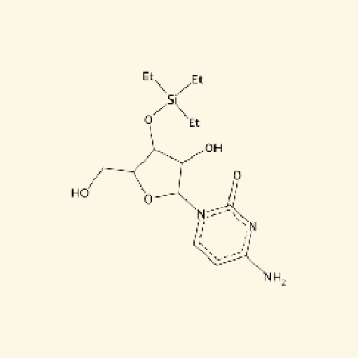 CC[Si](CC)(CC)OC1C(CO)OC(n2ccc(N)nc2=O)C1O